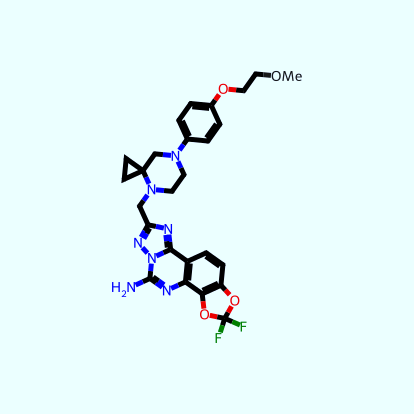 COCCOc1ccc(N2CCN(Cc3nc4c5ccc6c(c5nc(N)n4n3)OC(F)(F)O6)C3(CC3)C2)cc1